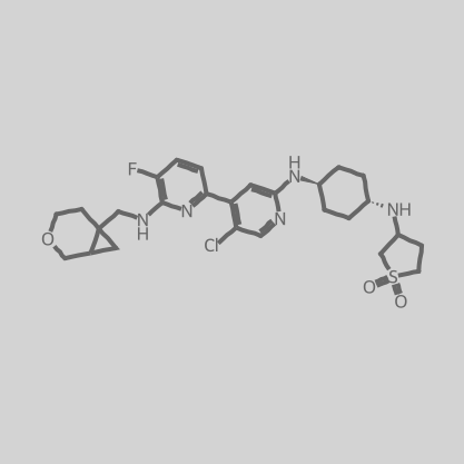 O=S1(=O)CCC(N[C@H]2CC[C@H](Nc3cc(-c4ccc(F)c(NCC56CCOCC5C6)n4)c(Cl)cn3)CC2)C1